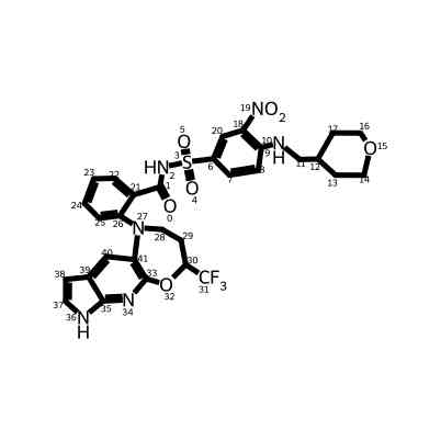 O=C(NS(=O)(=O)c1ccc(NCC2CCOCC2)c([N+](=O)[O-])c1)c1ccccc1N1CCC(C(F)(F)F)Oc2nc3[nH]ccc3cc21